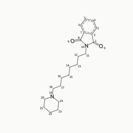 O=C1c2ccccc2C(=O)N1CCCCCCCCN1CCCCC1